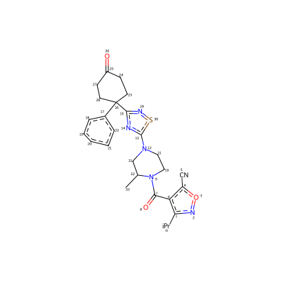 CC(C)c1noc(C#N)c1C(=O)N1CCN(c2nc(C3(c4ccccc4)CCC(=O)CC3)ns2)CC1C